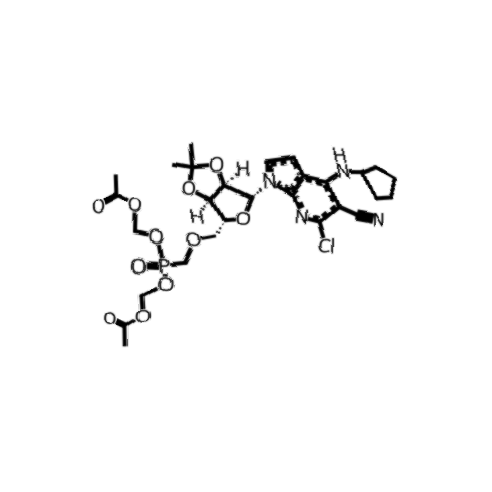 CC(=O)OCOP(=O)(COC[C@H]1O[C@@H](n2ccc3c(NC4CCCC4)c(C#N)c(Cl)nc32)[C@@H]2OC(C)(C)O[C@@H]21)OCOC(C)=O